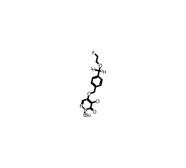 [2H]C([2H])(OCCF)c1ccc(COc2cnn(C(C)(C)C)c(=O)c2Cl)cc1